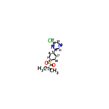 CC(C)S(=O)(=O)c1ccc(-c2cncc(Cl)n2)cc1